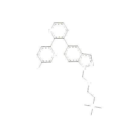 C[Si](C)(C)CCOCn1ncc2cc(-c3cccnc3-c3ccc(F)cn3)ccc21